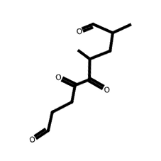 CC(C=O)CC(C)C(=O)C(=O)CCC=O